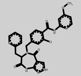 COc1ccnc(NC(=O)c2ccc(CN3C(=O)c4c[nH]nc4NC(=O)C3Cc3ccccn3)cc2Cl)c1